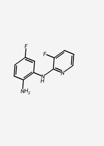 Nc1ccc(F)cc1Nc1ncccc1F